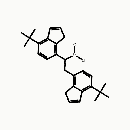 CC(C)(C)c1ccc(C[CH](c2ccc(C(C)(C)C)c3c2CC=C3)[Zr]([Cl])[Cl])c2c1C=CC2